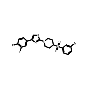 O=S(=O)(c1cccc(Br)c1)C1CCN(c2nc(-c3ccc(F)c(F)c3)cs2)CC1